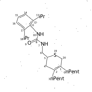 CCCCCC1=C(CCCCC)CC(CNC(=O)Nc2c(C(C)C)cccc2C(C)C)SC1